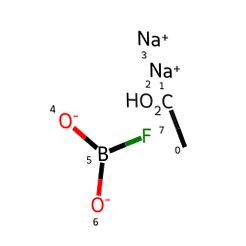 CC(=O)O.[Na+].[Na+].[O-]B([O-])F